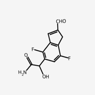 NC(=O)C(O)c1cc(F)c2c(c1F)C=C(C=O)C2